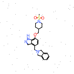 CS(=O)(=O)N1CCC(COc2ccc(CN3Cc4ccccc4C3)c3cn[nH]c23)CC1